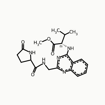 COC(=O)[C@@H](Nc1nc(CNC(=O)C2CCC(=O)N2)nc2ccccc12)C(C)C